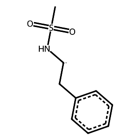 CS(=O)(=O)N[CH]Cc1ccccc1